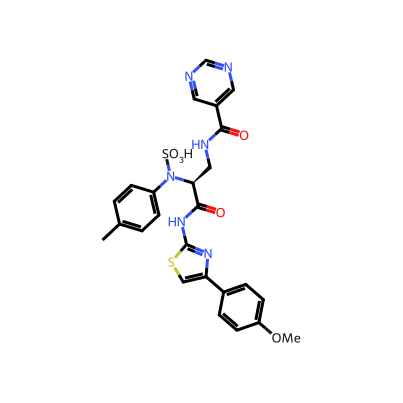 COc1ccc(-c2csc(NC(=O)[C@H](CNC(=O)c3cncnc3)N(c3ccc(C)cc3)S(=O)(=O)O)n2)cc1